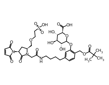 CC(C)(C)C(=O)OCc1ccc(CCCCNC(=O)CN2C(=O)[C@@H](N3C(=O)C=CC3=O)C[C@H]2COCCS(=O)(=O)O)cc1OC1O[C@H](C(=O)O)[C@@H](O)[C@H](O)[C@H]1O